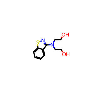 OCCN(CCO)c1nsc2ccccc12